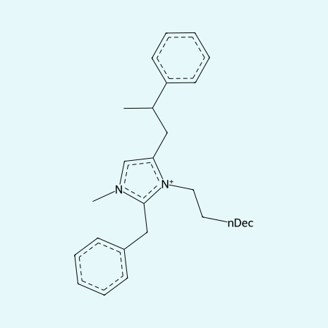 CCCCCCCCCCCC[n+]1c(CC(C)c2ccccc2)cn(C)c1Cc1ccccc1